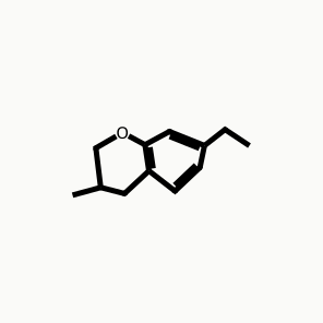 CCc1ccc2c(c1)OCC(C)C2